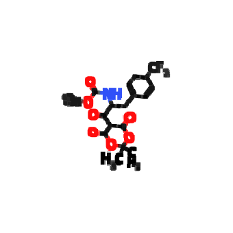 CC(C)(C)OC(=O)NC(Cc1ccc(C(F)(F)F)cc1)C(=O)C1C(=O)OC(C)(C)OC1=O